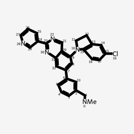 CNCc1cccc(-c2cc(N3CCc4cc(Cl)ccc43)c3cnc(-c4cccnc4)nc3c2)c1